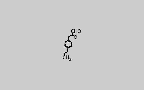 C=CCc1ccc(CC(=O)C=O)cc1